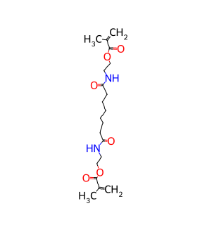 C=C(C)C(=O)OCCNC(=O)CCCCCCC(=O)NCCOC(=O)C(=C)C